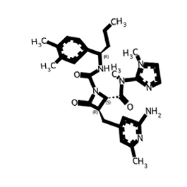 CCC[C@@H](NC(=O)N1C(=O)[C@H](Cc2cc(C)nc(N)c2)[C@H]1C(=O)N(C)c1nccn1C)c1ccc(C)c(C)c1